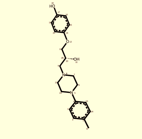 Cc1ccc(N2CCN(C[C@@H](O)COc3ccc(O)cc3)CC2)cc1